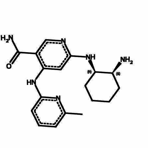 Cc1cccc(Nc2cc(N[C@@H]3CCCC[C@@H]3N)ncc2C(N)=O)n1